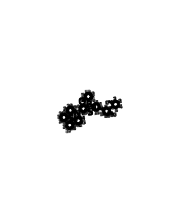 Cc1ccccc1-c1cc(-c2ccc3c(c2)Sc2cc(N4c5ccccc5[Si](c5ccccc5)(c5ccccc5)c5ccccc54)cc4c2B3c2ccccc2O4)ccc1C